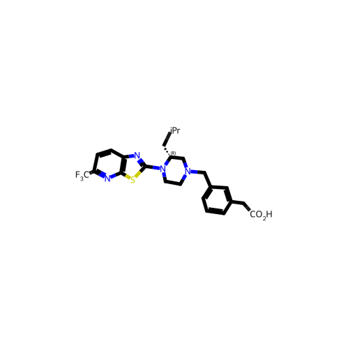 CC(C)C[C@@H]1CN(Cc2cccc(CC(=O)O)c2)CCN1c1nc2ccc(C(F)(F)F)nc2s1